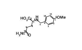 COc1ccc(CN[C@@H](CCC(N)=O)C(=O)O)cc1